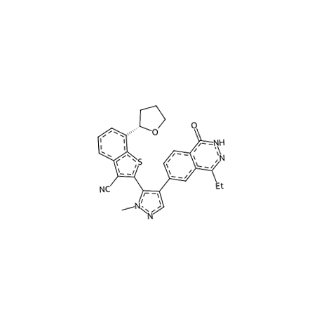 CCc1n[nH]c(=O)c2ccc(-c3cnn(C)c3-c3sc4c([C@@H]5CCCO5)cccc4c3C#N)cc12